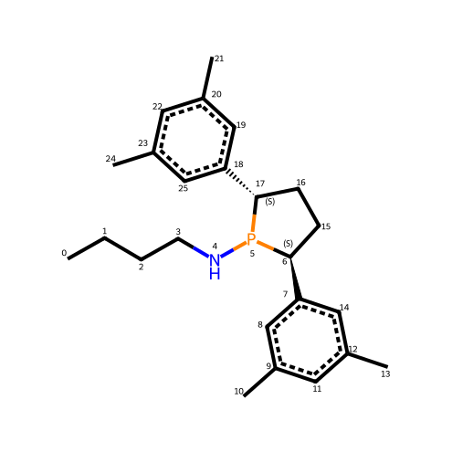 CCCCNP1[C@H](c2cc(C)cc(C)c2)CC[C@H]1c1cc(C)cc(C)c1